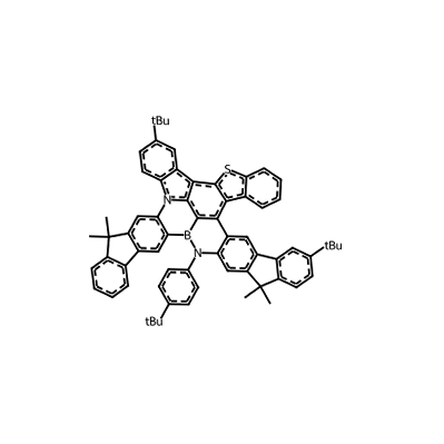 CC(C)(C)c1ccc(N2B3c4cc5c(cc4-n4c6ccc(C(C)(C)C)cc6c6c7sc8ccccc8c7c(c3c64)-c3cc4c(cc32)C(C)(C)c2ccc(C(C)(C)C)cc2-4)C(C)(C)c2ccccc2-5)cc1